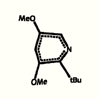 COc1cnc(C(C)(C)C)c(OC)c1